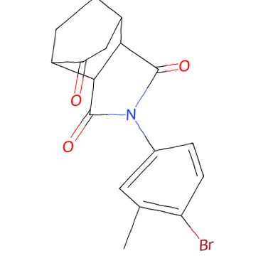 Cc1cc(N2C(=O)C3C4CCC(C(=O)C4)C3C2=O)ccc1Br